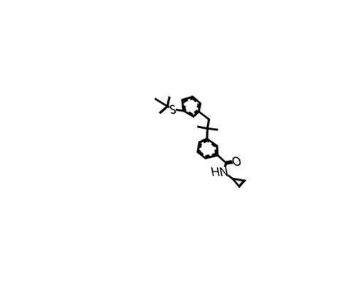 CC(C)(C)Sc1cccc(CC(C)(C)c2cccc(C(=O)NC3CC3)c2)c1